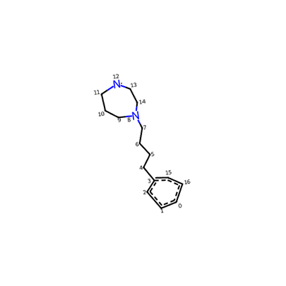 c1ccc(CCCCN2CCC[N]CC2)cc1